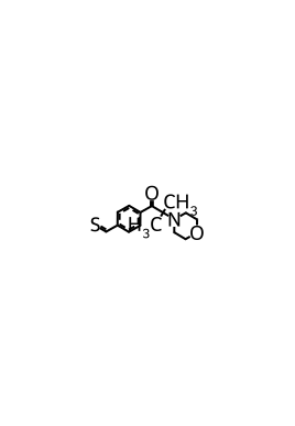 CC(C)(C(=O)c1ccc(C=S)cc1)N1CCOCC1